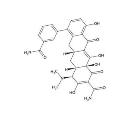 CN(C)[C@@H]1C(O)=C(C(N)=O)C(=O)[C@@]2(O)C(O)=C3C(=O)c4c(O)ccc(-c5cccc(C(N)=O)c5)c4C[C@H]3C[C@@H]12